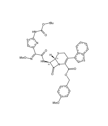 CON=C(C(=O)N[C@@H]1C(=O)N2C(C(=O)OCc3ccc(OC)cc3)=C(c3csc4ccccc34)CS[C@@H]12)c1csc(NC(=O)OC(C)(C)C)n1